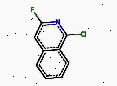 Fc1cc2ccccc2c(Cl)n1